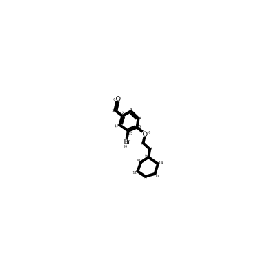 O=Cc1ccc(OCCC2CCCCC2)c(Br)c1